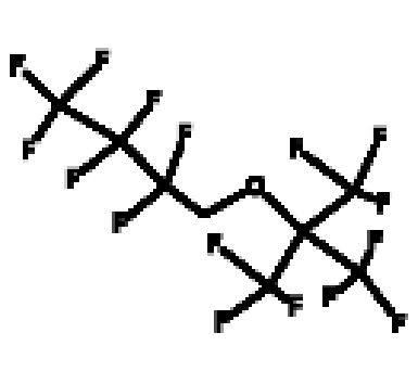 FC(F)(F)C(F)(F)C(F)(F)COC(C(F)(F)F)(C(F)(F)F)C(F)(F)F